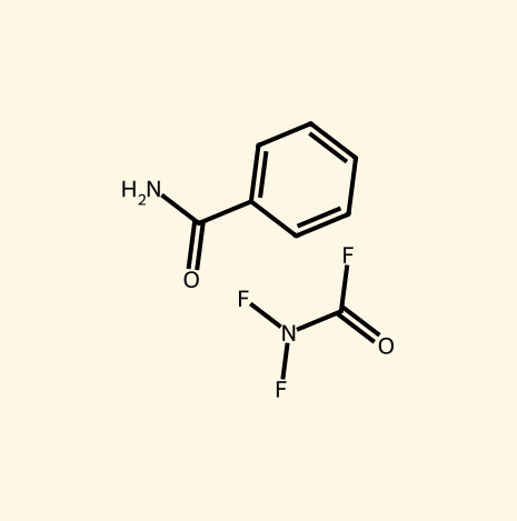 NC(=O)c1ccccc1.O=C(F)N(F)F